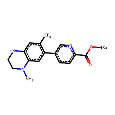 CN1CCNc2cc(C(F)(F)F)c(-c3ccc(C(=O)OC(C)(C)C)nc3)cc21